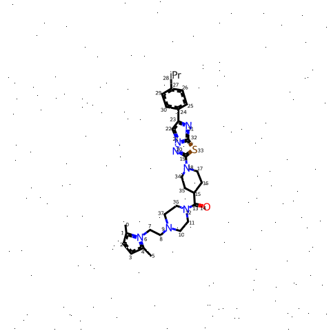 Cc1ccc(C)n1CCN1CCN(C(=O)C2CCN(c3nn4cc(-c5ccc(C(C)C)cc5)nc4s3)CC2)CC1